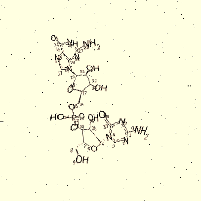 Nc1ncn([C@@H]2O[C@H](CO)C(OP(=O)(O)OC[C@H]3O[C@@H](n4cnc5c(=O)[nH]c(N)nc54)[C@@H](O)C3O)C2O)c(=O)n1